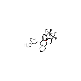 CC(C)CC[C@H](c1ccc(C(F)(F)F)cc1)N1CCCC[C@@H]1C1C=CC(C(F)(F)F)=CC1